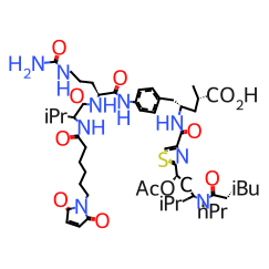 CCCN(C(=O)C[C@@H](C)CC)C(C[C@@H](OC(C)=O)c1nc(C(=O)N[C@H](Cc2ccc(NC(=O)[C@H](CCCNC(N)=O)NC(=O)C(NC(=O)CCCCCN3C(=O)C=CC3=O)C(C)C)cc2)C[C@H](C)C(=O)O)cs1)C(C)C